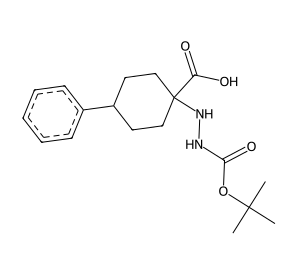 CC(C)(C)OC(=O)NNC1(C(=O)O)CCC(c2ccccc2)CC1